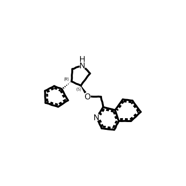 c1ccc([C@@H]2CNC[C@H]2OCc2nccc3ccccc23)cc1